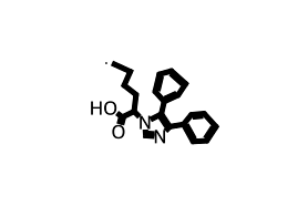 [CH2]CCCC(C(=O)O)n1cnc(-c2ccccc2)c1-c1ccccc1